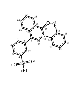 CCS(=O)(=O)c1cccc(-c2nn(-c3ccccc3F)c(=O)c3ccccc23)c1